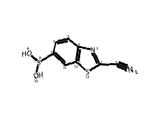 N#Cc1nc2ccc(B(O)O)cc2s1